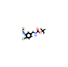 CC(C)(C)OC(=O)NCc1ccc(Cl)c(N=C=S)c1